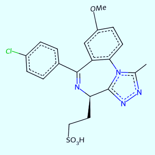 COc1ccc2c(c1)C(c1ccc(Cl)cc1)=N[C@H](CCS(=O)(=O)O)c1nnc(C)n1-2